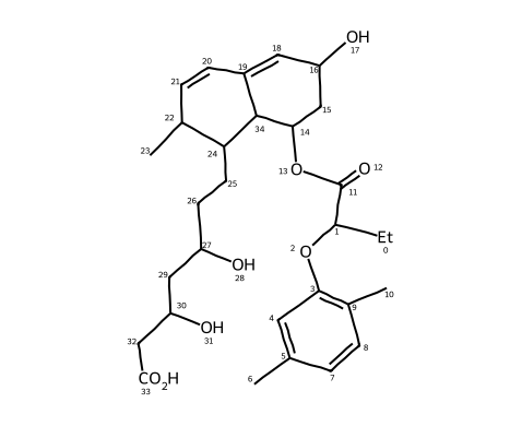 CCC(Oc1cc(C)ccc1C)C(=O)OC1CC(O)C=C2C=CC(C)C(CCC(O)CC(O)CC(=O)O)C21